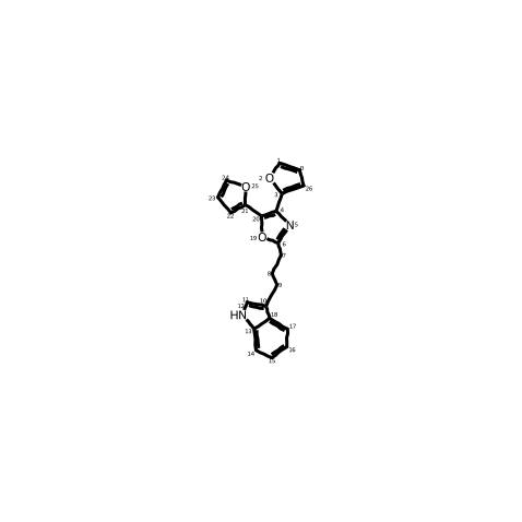 c1coc(-c2nc(CCCc3c[nH]c4ccccc34)oc2-c2ccco2)c1